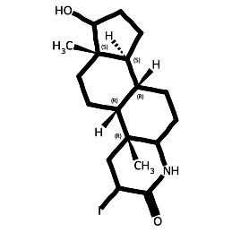 C[C@]12CC(I)C(=O)NC1CC[C@@H]1[C@H]2CC[C@]2(C)C(O)CC[C@@H]12